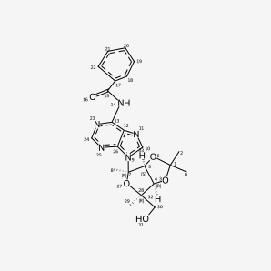 CC1(C)O[C@@H]2[C@H](O1)[C@](C)(n1cnc3c(NC(=O)c4ccccc4)ncnc31)O[C@]2(C)CO